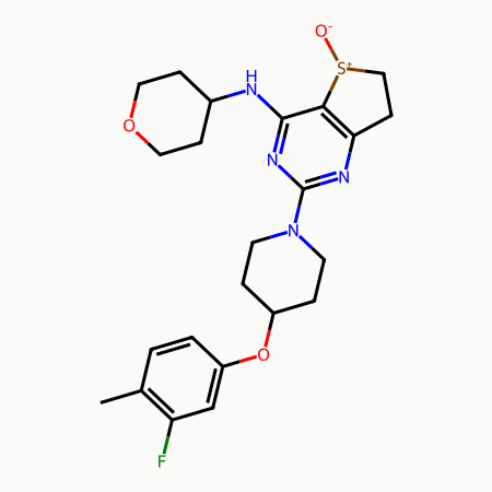 Cc1ccc(OC2CCN(c3nc4c(c(NC5CCOCC5)n3)[S+]([O-])CC4)CC2)cc1F